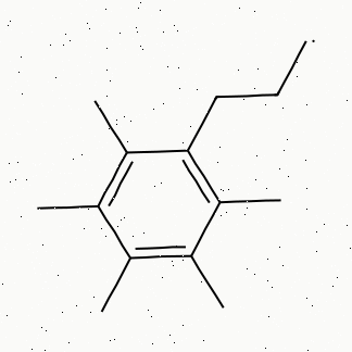 [CH2]CCc1c(C)c(C)c(C)c(C)c1C